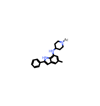 CC(=O)N1CCC(Nc2cc(C)cc3cc(-c4ccccc4)[nH]c23)CC1